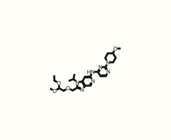 CCOC(COCc1nc2cnc(Nc3ccnc(N4CCC(OC)CC4)n3)cc2n1C(C)C)OC